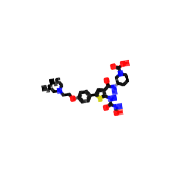 CCN(CC)CCOc1ccc(-c2cc(C(=O)N[C@H]3CCCN(C(=O)O)C3)c(NC(=O)NO)s2)cc1